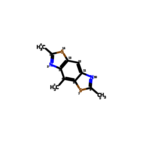 Cc1nc2c(C)c3sc(C)nc3cc2s1